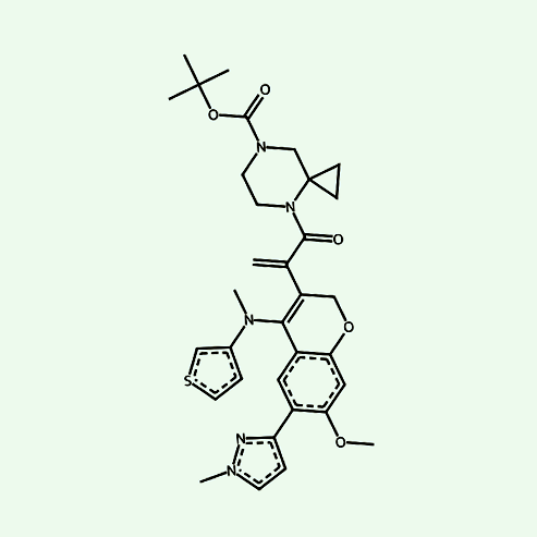 C=C(C(=O)N1CCN(C(=O)OC(C)(C)C)CC12CC2)C1=C(N(C)c2ccsc2)c2cc(-c3ccn(C)n3)c(OC)cc2OC1